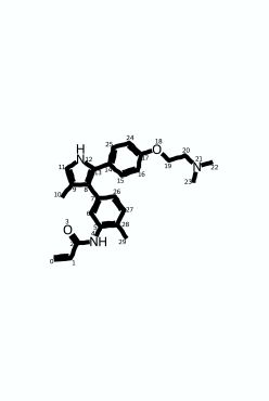 C=CC(=O)Nc1cc(-c2c(C)c[nH]c2-c2ccc(OCCN(C)C)cc2)ccc1C